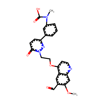 COc1cc2nccc(OCCn3nc(-c4cccc(N(C)C(=O)O)c4)ccc3=O)c2cc1C=O